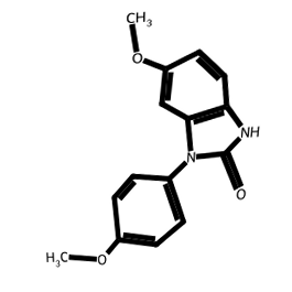 COc1ccc(-n2c(=O)[nH]c3ccc(OC)cc32)cc1